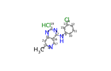 Cc1cc2ncnc(Nc3cccc(Cl)c3)c2cn1.Cl